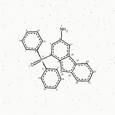 Nc1cc(P(=O)(c2ccccc2)c2ccccc2)c2sc3ccccc3c2c1